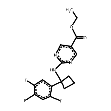 CCOC(=O)c1cnc(NC2(c3cc(F)c(F)cc3F)CCC2)nc1